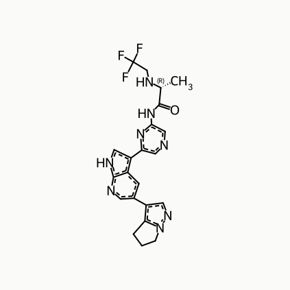 C[C@@H](NCC(F)(F)F)C(=O)Nc1cncc(-c2c[nH]c3ncc(-c4cnn5c4CCC5)cc23)n1